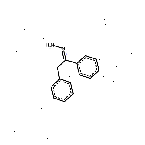 N/N=C(\Cc1ccccc1)c1ccccc1